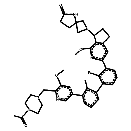 COc1nc(-c2cccc(-c3cccc(-c4cc5c(c(OC)n4)C(N4CC6(CCC(=O)N6)C4)CC5)c3F)c2C)cnc1CN1CCN(C(C)=O)CC1